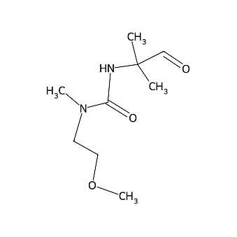 COCCN(C)C(=O)NC(C)(C)C=O